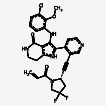 C=CC(=O)N1CC(F)(F)C[C@H]1C#Cc1cnccc1-c1[nH]c2c(c1Nc1cccc(Cl)c1OC)C(=O)NCC2